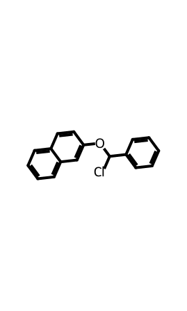 ClC(Oc1ccc2ccccc2c1)c1ccccc1